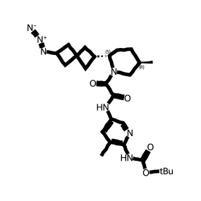 Cc1cc(NC(=O)C(=O)N2C[C@H](C)CC[C@H]2C2CC3(CC(N=[N+]=[N-])C3)C2)cnc1NC(=O)OC(C)(C)C